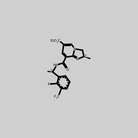 CCOC(=O)C1=CN2C[C@@H](C)N=C2C(C(=O)N[C@H](C)c2cccc(C(F)(F)F)c2F)=C1